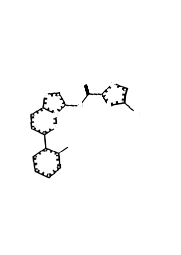 Cc1cnc(C(=O)Nc2cnc3ccc(-c4ccccc4Cl)nn23)s1